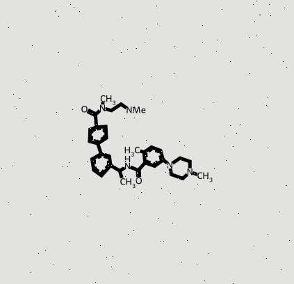 CNCCN(C)C(=O)c1ccc(-c2cccc(C(C)NC(=O)c3cc(N4CCN(C)CC4)ccc3C)c2)cc1